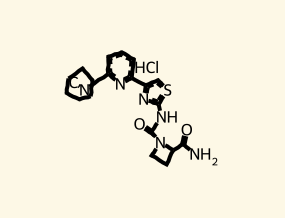 Cl.NC(=O)C1CCN1C(=O)Nc1nc(-c2cccc(N3CC4CCC3CC4)n2)cs1